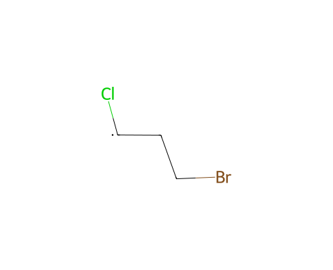 Cl[CH]CCBr